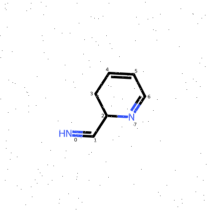 N=CC1CC=CC=N1